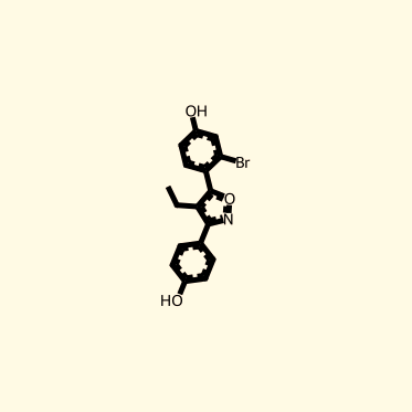 CCc1c(-c2ccc(O)cc2)noc1-c1ccc(O)cc1Br